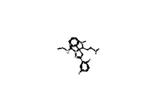 CCNC(=O)N1N=C(c2cc(F)ccc2F)CC1(c1ccccc1)C(CCN(C)C)N(C)C